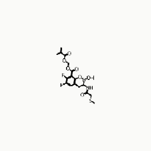 CSCC(=O)NC1Cc2cc(F)c(F)c(C(=O)OCOC(=O)C(C)C)c2OB1O